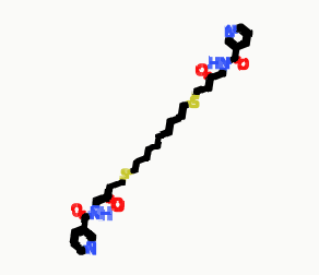 O=C(CCSCCCCCCCCCCSCCC(=O)CNC(=O)c1cccnc1)CNC(=O)c1cccnc1